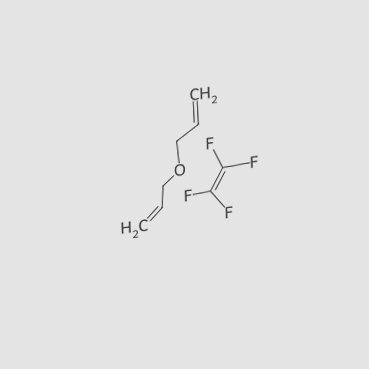 C=CCOCC=C.FC(F)=C(F)F